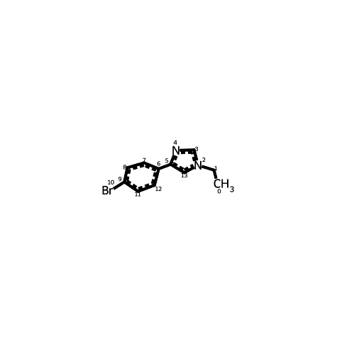 CCn1cnc(-c2ccc(Br)cc2)c1